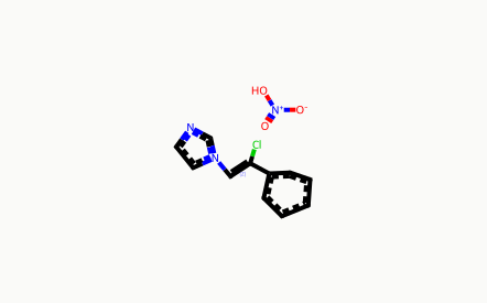 Cl/C(=C\n1ccnc1)c1ccccc1.O=[N+]([O-])O